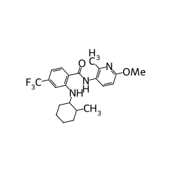 COc1ccc(NC(=O)c2ccc(C(F)(F)F)cc2NC2CCCCC2C)c(C)n1